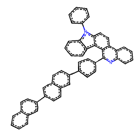 c1ccc(-n2c3ccccc3c3c4c(-c5ccc(-c6ccc7cc(-c8ccc9ccccc9c8)ccc7c6)cc5)nc5ccccc5c4ccc32)cc1